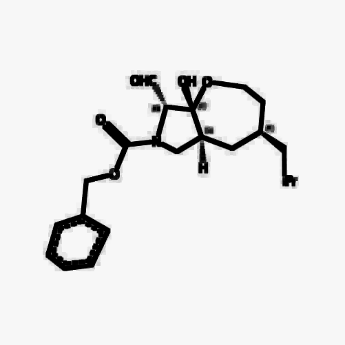 CC(C)C[C@@H]1CCO[C@]2(O)[C@@H](C1)CN(C(=O)OCc1ccccc1)[C@@H]2C=O